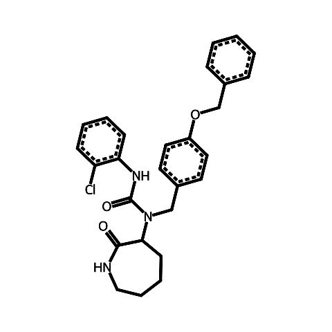 O=C1NCCCCC1N(Cc1ccc(OCc2ccccc2)cc1)C(=O)Nc1ccccc1Cl